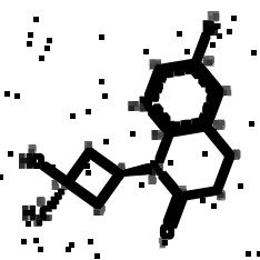 C[C@]1(O)C[C@@H](N2C(=O)CCc3cc(Br)cnc32)C1